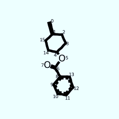 C=C1CCC(OC(=O)c2ccccc2)CC1